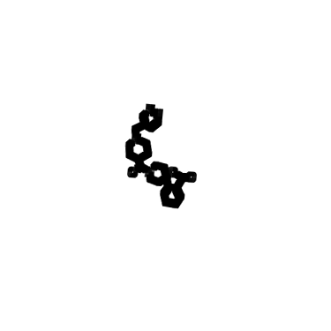 O=C1OC2(CCN(C(=O)C3CCN(Cc4ccnnc4)CC3)CC2)c2ccccc21